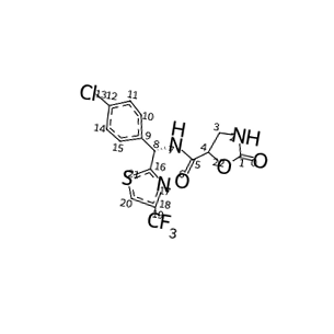 O=C1NCC(C(=O)N[C@@H](c2ccc(Cl)cc2)c2nc(C(F)(F)F)cs2)O1